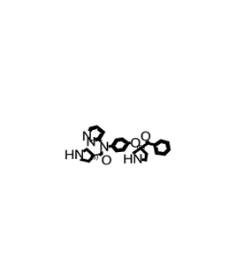 O=C([C@H]1CCNC1)N(c1ccc(O[C@]2(C(=O)c3ccccc3)CCNC2)cc1)c1cccnn1